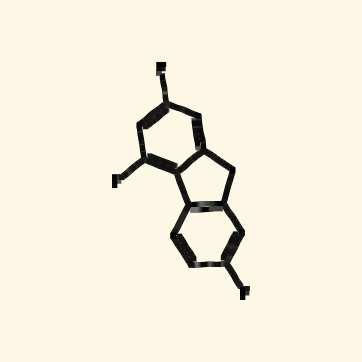 Fc1ccc2c(c1)Cc1cc(F)cc(F)c1-2